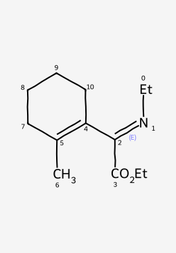 CC/N=C(/C(=O)OCC)C1=C(C)CCCC1